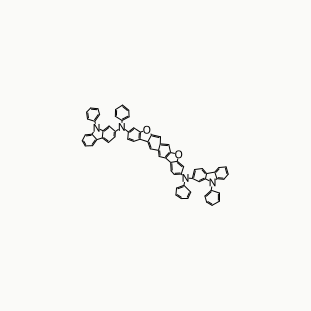 c1ccc(N(c2ccc3c(c2)oc2cc4cc5oc6cc(N(c7ccccc7)c7ccc8c9ccccc9n(-c9ccccc9)c8c7)ccc6c5cc4cc23)c2ccc3c4ccccc4n(-c4ccccc4)c3c2)cc1